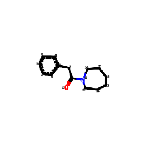 O=C(Cc1ccccc1)N1CCCCCC1